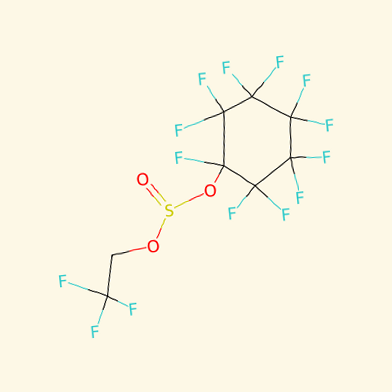 O=S(OCC(F)(F)F)OC1(F)C(F)(F)C(F)(F)C(F)(F)C(F)(F)C1(F)F